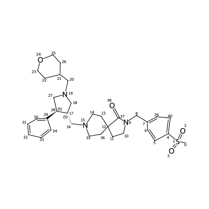 CS(=O)(=O)c1ccc(CN2CCC3(CCN(C[C@H]4CN(CC5CCOCC5)C[C@@H]4c4ccccc4)CC3)C2=O)cc1